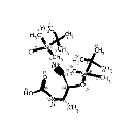 CC(C)(C)[Si](C)(C)Cl.C[C@H](NC(=O)O)[C@@H](C#N)O[Si](C)(C)C(C)(C)C